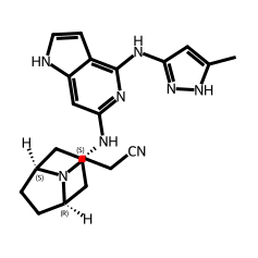 Cc1cc(Nc2nc(N[C@@H]3C[C@H]4CC[C@@H](C3)N4CCC#N)cc3[nH]ccc23)n[nH]1